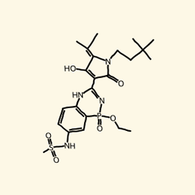 CCOP1(=O)N=C(C2=C(O)C(=C(C)C)N(CCC(C)(C)C)C2=O)Nc2ccc(NS(C)(=O)=O)cc21